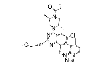 C=CC(=O)N1C[C@H](C)N(c2nc(C#CCOC)nc3c(F)c(-c4c(C)ccc5cnn(C)c45)c(Cl)cc23)C[C@H]1C